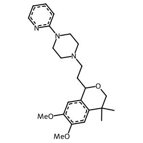 COc1cc2c(cc1OC)C(C)(C)COC2CCN1CCN(c2ccccn2)CC1